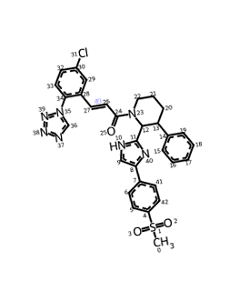 CS(=O)(=O)c1ccc(-c2c[nH]c(C3C(c4ccccc4)CCCN3C(=O)/C=C/c3cc(Cl)ccc3-n3cnnn3)n2)cc1